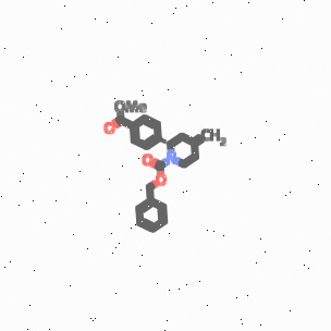 C=C1CCN(C(=O)OCc2ccccc2)[C@H](c2ccc(C(=O)OC)cc2)C1